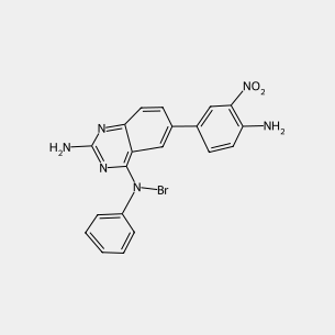 Nc1nc(N(Br)c2ccccc2)c2cc(-c3ccc(N)c([N+](=O)[O-])c3)ccc2n1